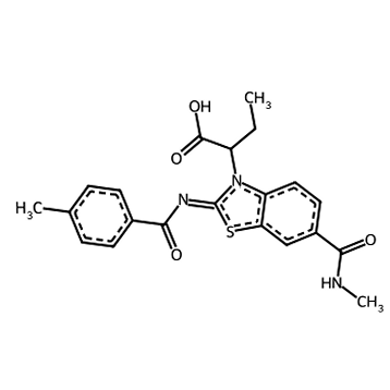 CCC(C(=O)O)n1/c(=N/C(=O)c2ccc(C)cc2)sc2cc(C(=O)NC)ccc21